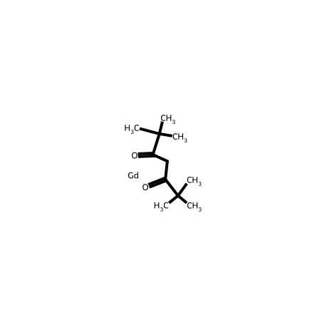 CC(C)(C)C(=O)CC(=O)C(C)(C)C.[Gd]